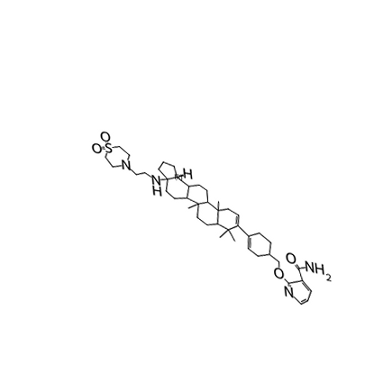 CC1(C)C(C2=CCC(COc3ncccc3C(N)=O)CC2)=CCC2(C)C1CCC1(C)C3CCC4(NCCN5CCS(=O)(=O)CC5)CCC[C@@H]4C3CCC12